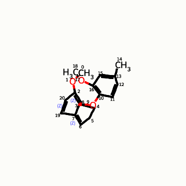 COC1=C\CC/C=C(COc2ccc(C)cc2OC)/C=C\1